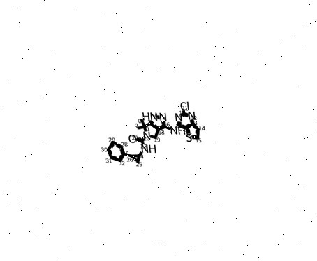 CC1(C)c2[nH]nc(Nc3nc(Cl)nc4ccsc34)c2CN1C(=O)NC1CC1c1ccccc1